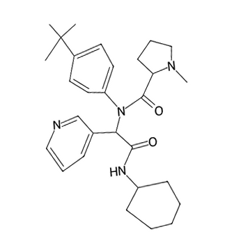 CN1CCCC1C(=O)N(c1ccc(C(C)(C)C)cc1)C(C(=O)NC1CCCCC1)c1cccnc1